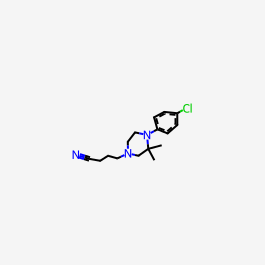 CC1(C)CN(CCCC#N)CCN1c1ccc(Cl)cc1